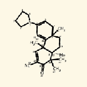 CC12CC=C(N3CCCC3)C=C1C1(C)C=C(C#N)C(=O)C(C)(C)[C@@H]1CC2